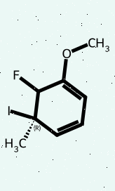 COC1=CC=C[C@@](C)(I)C1F